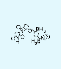 Bc1cc(C(B)N2CCOCC2)ccc1COc1cccc2c1CN(C1CCC(=O)NC1=O)C2=O